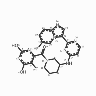 O=C(c1nc(O)nc(O)c1F)N1CCCC(Nc2ccnc(-c3cnc4ccc(F)cn34)n2)C1